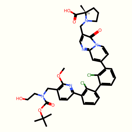 COc1nc(-c2cccc(-c3cccc(-c4ccn5c(=O)c(CN6CCC[C@@]6(C)C(=O)O)cnc5c4)c3Cl)c2Cl)ccc1CN(CCO)C(=O)OC(C)(C)C